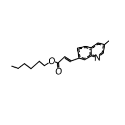 CCCCCCOC(=O)/C=C/c1ccc2cc(C)cnc2c1